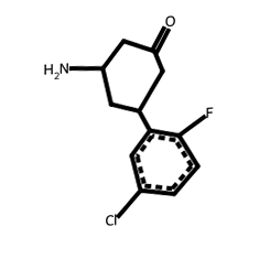 NC1CC(=O)CC(c2cc(Cl)ccc2F)C1